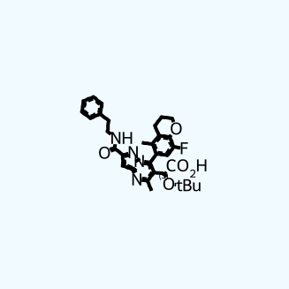 Cc1nc2cc(C(=O)NCCc3ccccc3)nn2c(-c2cc(F)c3c(c2C)CCCO3)c1[C@H](OC(C)(C)C)C(=O)O